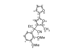 CCC(C#N)(c1cccc(OC)c1OC)c1nc(-c2ccco2)oc1C